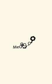 COP1(=O)CC[C@@H](COCc2ccccc2)O1